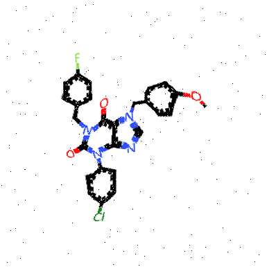 COc1ccc(Cn2cnc3c2c(=O)n(Cc2ccc(F)cc2)c(=O)n3-c2ccc(Cl)cc2)cc1